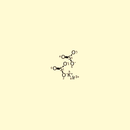 O=S([O-])[O-].O=S([O-])[O-].[Ir+3].[K+]